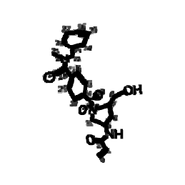 C=CC(=O)NC1CC(CO)N(S(=O)(=O)c2ccc(C(=O)N(C)Cc3ccccc3)cc2)C1